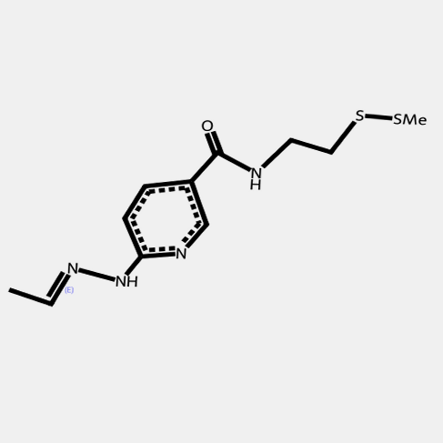 C/C=N/Nc1ccc(C(=O)NCCSSC)cn1